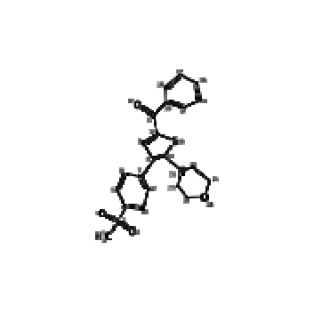 CS(=O)(=O)c1ccc(-c2cc(C(=O)c3ccccc3)sc2N2CCOCC2)cc1